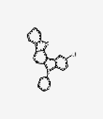 Clc1ccc2c(c1)c1c3sc4ccccc4c3ccc1n2-c1ccccc1